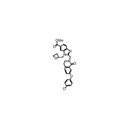 COC(=O)c1ccc2nc(CN3CCc4ccc(Oc5ccc(Cl)cc5)cc4C3=O)n(C[C@@H]3CCO3)c2c1